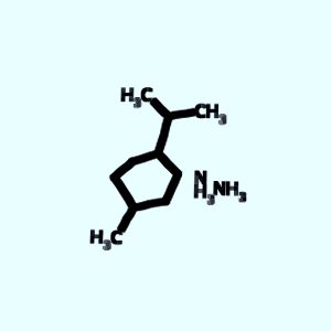 CC1CCC(C(C)C)CC1.N.N